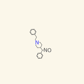 O=NC(c1ccccc1)C1CCN(CCc2ccccc2)CC1